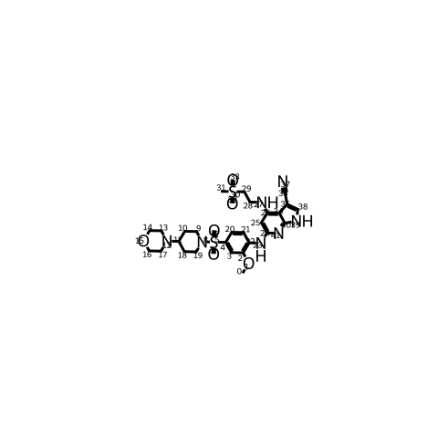 COc1cc(S(=O)(=O)N2CCC(N3CCOCC3)CC2)ccc1Nc1cc(NCCS(C)(=O)=O)c2c(C#N)c[nH]c2n1